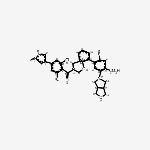 Cn1cc(-c2cc(Cl)c(C(=O)N3COc4c(cccc4-c4cc(N5CC6COCC6C5)c(C(=O)O)cc4F)C3)c(Cl)c2)cn1